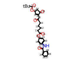 CC(C)(C)C(=O)OC1C=C(CC(=O)CCCCC(=O)Oc2ccc(NC(=O)c3ccccc3)cc2)C(=O)C1